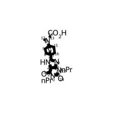 CCCn1c(=O)c2[nH]c(C34CCC(N(C)CC(=O)O)(CC3)CC4)nc2n(CCC)c1=O